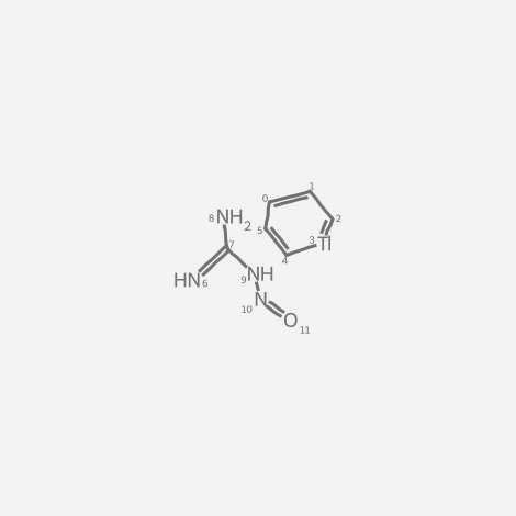 C1=C[CH]=[Tl][CH]=C1.N=C(N)NN=O